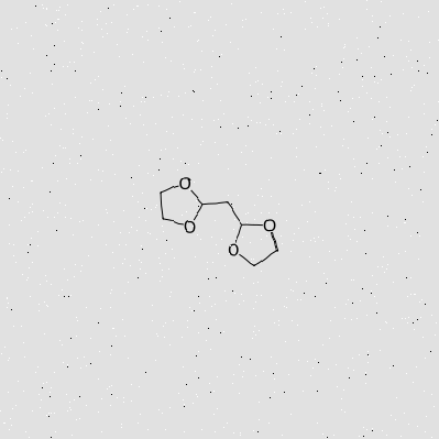 C1COC(CC2OCCO2)O1